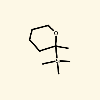 CC1([Si](C)(C)C)CCCCO1